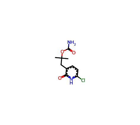 CC(C)(Cc1ccc(Cl)[nH]c1=O)OC(N)=O